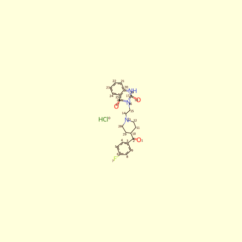 Cl.O=C(c1ccc(F)cc1)C1CCN(CCn2c(=O)[nH]c3ccccc3c2=O)CC1